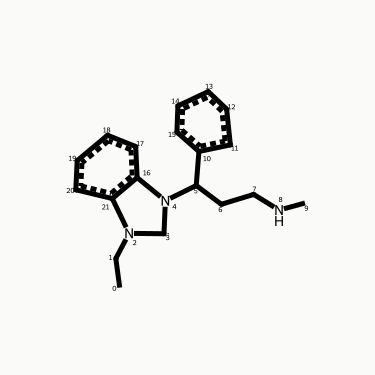 CCN1[CH]N(C(CCNC)c2ccccc2)c2ccccc21